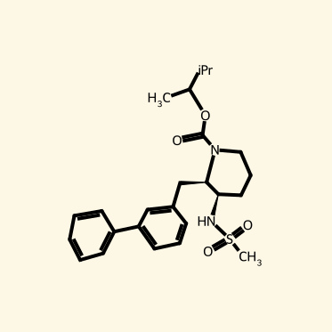 CC(C)C(C)OC(=O)N1CCC[C@@H](NS(C)(=O)=O)[C@H]1Cc1cccc(-c2ccccc2)c1